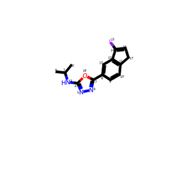 CC(C)Nc1nnc(-c2ccc3c(c2)C(I)=CC3)o1